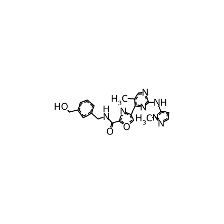 Cc1cnc(Nc2ccnn2C)nc1-c1coc(C(=O)NCc2cccc(CO)c2)n1